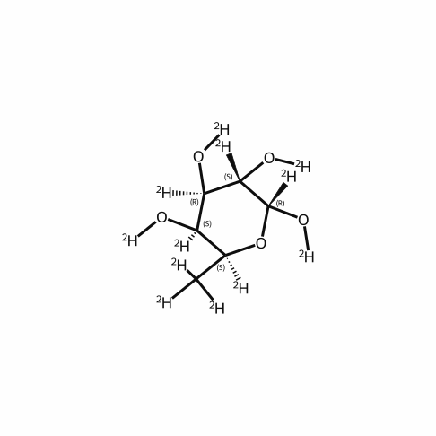 [2H]O[C@]1([2H])O[C@@]([2H])(C([2H])([2H])[2H])[C@@]([2H])(O[2H])[C@@]([2H])(O[2H])[C@]1([2H])O[2H]